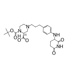 CC(C)(C)OC(=O)N1CCN(CCCc2ccc(NC3CCC(=O)NC3=O)cc2)C[C@H]1C(=O)O